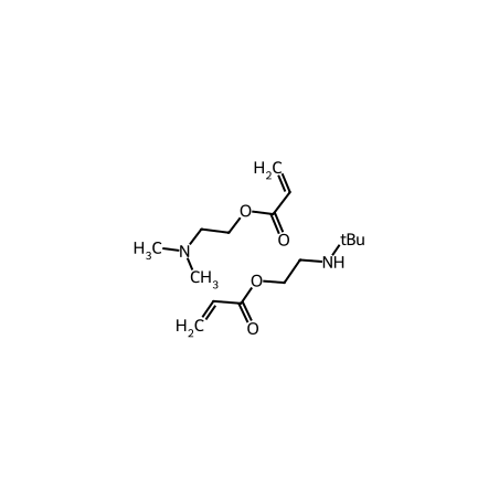 C=CC(=O)OCCN(C)C.C=CC(=O)OCCNC(C)(C)C